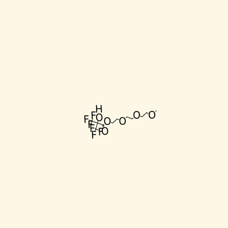 COCCOCCOCCOC(=O)C(O)(C(F)(F)F)C(F)(F)F